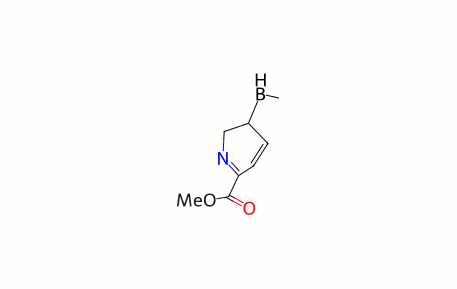 CBC1C=CC(C(=O)OC)=NC1